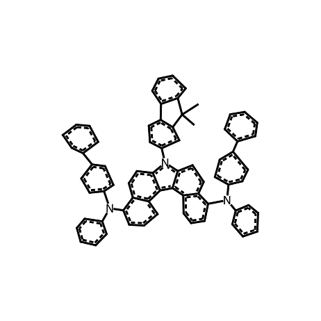 CC1(C)c2ccccc2-c2ccc(-n3c4ccc5c(N(c6ccccc6)c6ccc(-c7ccccc7)cc6)cccc5c4c4c5cccc(N(c6ccccc6)c6ccc(-c7ccccc7)cc6)c5ccc43)cc21